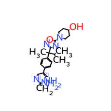 C=C(N)/N=C\C(=C/N)c1ccc(C(C)(c2noc(N3CCC(O)CC3)n2)C(C)C)cc1